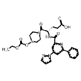 CCOC(=O)ON1CCN(C(=O)[C@H](CCC(=O)O)NC(=O)c2cc(-n3cccn3)cc(-c3ccccc3)n2)CC1